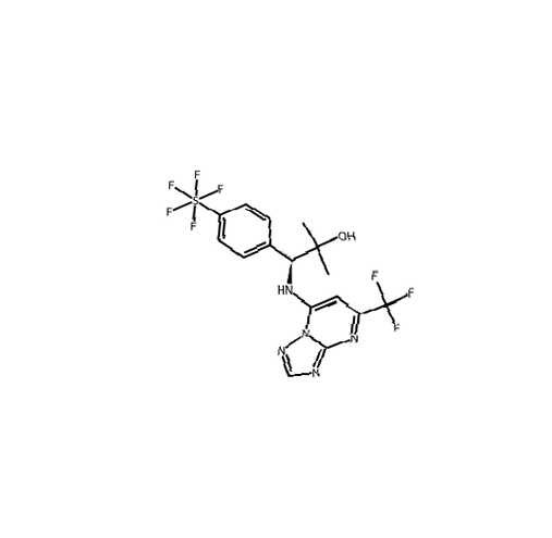 CC(C)(O)[C@@H](Nc1cc(C(F)(F)F)nc2ncnn12)c1ccc(S(F)(F)(F)(F)F)cc1